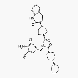 C#Cc1cc(C[C@@H](CC(=O)N2CCC(N3CCc4ccccc4NC3=O)CC2)C(=O)N2CCC(N3CCCCC3)CC2)cc(Cl)c1N